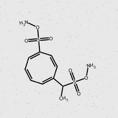 CC(C1=C/C=C\C=C(S(=O)(=O)ON)/C=C\1)S(=O)(=O)ON